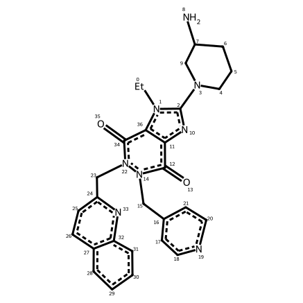 CCn1c(N2CCCC(N)C2)nc2c(=O)n(Cc3ccncc3)n(Cc3ccc4ccccc4n3)c(=O)c21